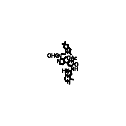 CC(=O)OCc1c(-c2cc(NC(=N)/C=C3\NCCN(C)C3C)c(=O)n(C)c2)ccnc1N(C=O)CCn1c(C)cc2c1CC(C)(C)C2